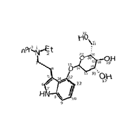 CCCN(CC)CCc1c[nH]c2cccc(OC3C[C@@H](O)[C@H](O)[C@@H](CO)O3)c12